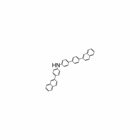 c1ccc2cc(-c3ccc(Nc4ccc(-c5ccc(-c6ccc7ccccc7c6)cc5)cc4)cc3)ccc2c1